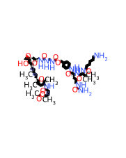 CC(=O)O[C@@H](C)/C=C\C(=O)N[C@@H]1C[C@H](C)[C@H](C/C=C(C)/C=C/[C@H]2O[C@H](CNC(=O)NCNC(=O)OCc3ccc(NC(=O)[C@H](CCCNC(N)=O)NC(=O)[C@@H](NC(=O)CCCCCN)C(C)C)cc3)C[C@@]3(CO3)[C@@H]2O)O[C@@H]1C